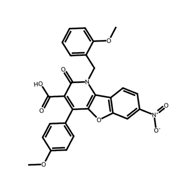 COc1ccc(-c2c(C(=O)O)c(=O)n(Cc3ccccc3OC)c3c2oc2cc([N+](=O)[O-])ccc23)cc1